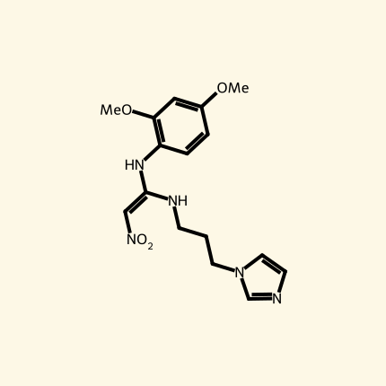 COc1ccc(N/C(=C/[N+](=O)[O-])NCCCn2ccnc2)c(OC)c1